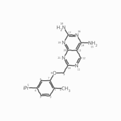 Cc1ccc(C(C)C)cc1OCc1ncc2c(N)nc(N)nc2n1